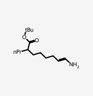 CCCC(CCCCC=CN)C(=O)OC(C)(C)C